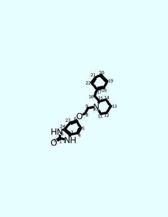 O=c1[nH]c2ccc(OCCN3CCCCC3Cc3ccccc3)cc2[nH]1